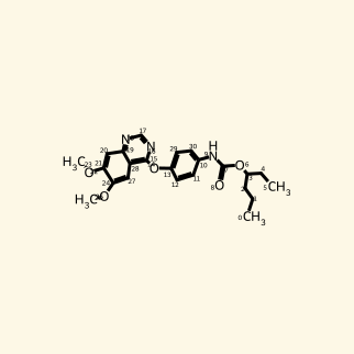 CCCC(CC)OC(=O)Nc1ccc(Oc2ncnc3cc(OC)c(OC)cc23)cc1